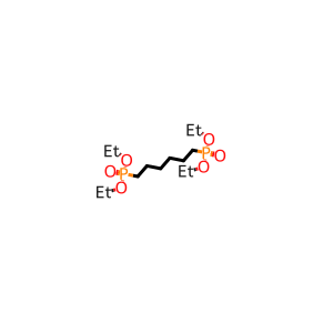 CCOP(=O)(CCCCCCP(=O)(OCC)OCC)OCC